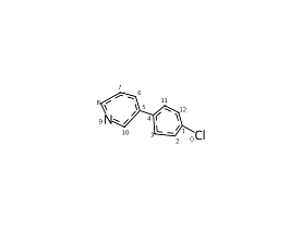 Clc1ccc(-c2c[c]cnc2)cc1